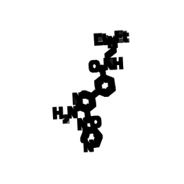 CCN(CC)CCNC(=O)c1cccc(-c2cnc(N)c(-c3nc4cnccc4o3)c2)c1